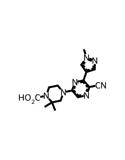 Cn1cc(-c2nc(N3CCN(C(=O)O)C(C)(C)C3)cnc2C#N)cn1